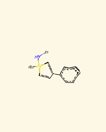 CCCCS1(NCC)C=CC(c2ccccc2)=C1